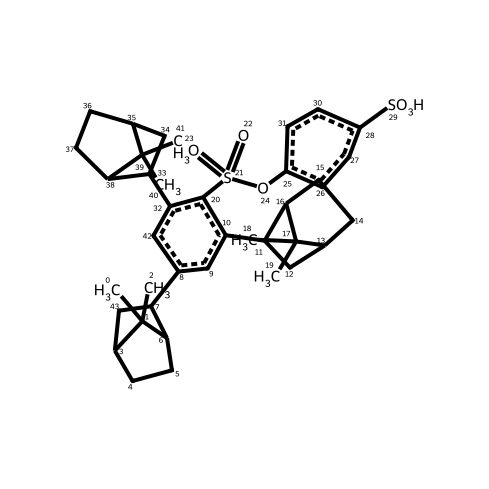 CC1(C)C2CCC1C(c1cc(C3CC4CCC3C4(C)C)c(S(=O)(=O)Oc3ccc(S(=O)(=O)O)cc3)c(C3CC4CCC3C4(C)C)c1)C2